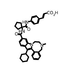 CN1CCn2c(c(C3CCCCC3)c3ccc(C(=O)NC4(C(=O)Nc5ccc(C=CC(=O)O)cc5)CCCC4)cc32)-c2ccccc2C1